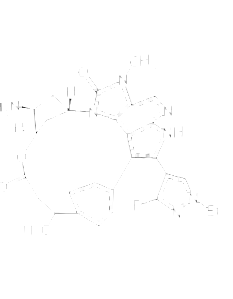 CCn1cc(-c2[nH]c3ncc4c5c3c2-c2ccc(cc2)C(C)CC(=O)O[C@@H]2C[C@H](C[C@@H]2N)n5c(=O)n4C)c(F)n1